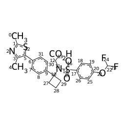 Cc1nc(C)c(-c2ccc(C3(N(CC(=O)O)S(=O)(=O)c4ccc(OC(F)F)cc4)CCC3)cc2)s1